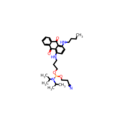 CCCCNc1ccc(NCCCOP(OCCC#N)N(C(C)C)C(C)C)c2c1C(=O)c1ccccc1C2=O